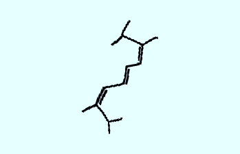 CC(=CC=CC=C(C)C(C)C)C(C)C